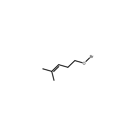 CC(C)=CCCOBr